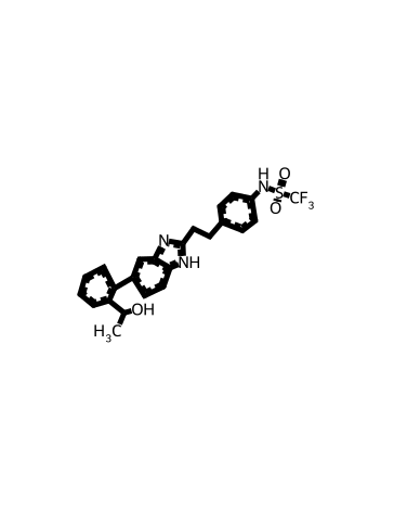 CC(O)c1ccccc1-c1ccc2[nH]c(CCc3ccc(NS(=O)(=O)C(F)(F)F)cc3)nc2c1